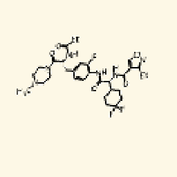 CCC(=O)N[C@H](Cc1ccc(NC(=O)[C@@H](NC(=O)c2conc2CC)C2CCC(F)(F)CC2)c(F)c1)C(=O)N1CCN(C)CC1